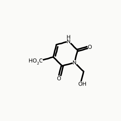 O=C(O)c1c[nH]c(=O)n(CO)c1=O